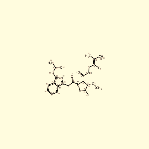 CO[C@H]1[C@@H](C(=O)NCC(F)=C(C)C)N(C(=O)Cn2nc(OC(N)=O)c3ccccc32)C[C@@H]1F